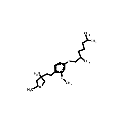 CCCC(N)(CO)CCc1ccc(OCC(C)CCCC(C)C)cc1OC